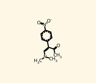 CC(=O)C(=CN(C)C)c1ccc([N+](=O)[O-])cc1